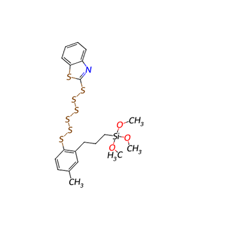 CO[Si](CCCc1cc(C)ccc1SSSSSSc1nc2ccccc2s1)(OC)OC